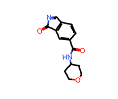 O=C(NC1CCOCC1)c1ccc2c(c1)C(=O)N=C2